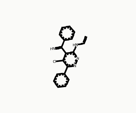 C=CNc1nnc(-c2ccccc2)c(Cl)c1C(=N)c1ccccc1